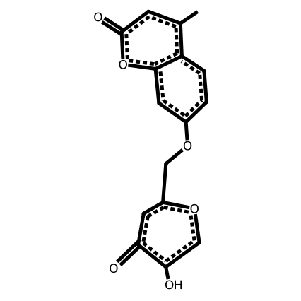 Cc1cc(=O)oc2cc(OCc3cc(=O)c(O)co3)ccc12